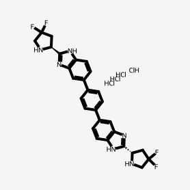 Cl.Cl.Cl.Cl.FC1(F)CN[C@H](c2nc3cc(-c4ccc(-c5ccc6[nH]c([C@@H]7CC(F)(F)CN7)nc6c5)cc4)ccc3[nH]2)C1